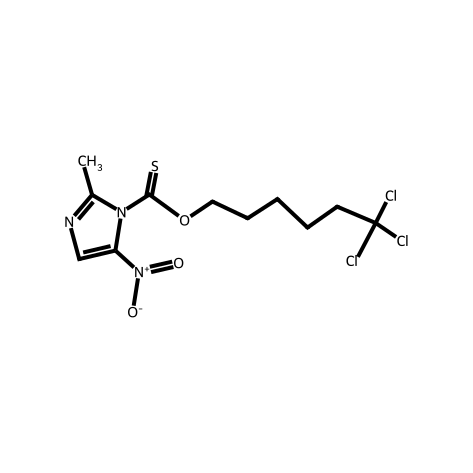 Cc1ncc([N+](=O)[O-])n1C(=S)OCCCCCC(Cl)(Cl)Cl